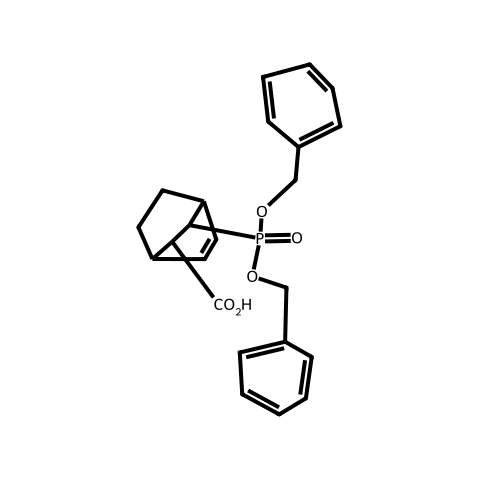 O=C(O)C1C2C=CC(CC2)C1P(=O)(OCc1ccccc1)OCc1ccccc1